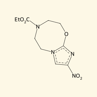 CCOC(=O)N1CCOc2nc([N+](=O)[O-])cn2CC1